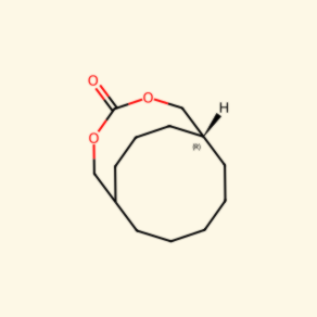 O=C1OCC2CCCCC[C@H](CCC2)CO1